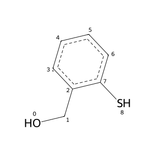 OCc1[c]cccc1S